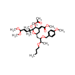 CCCCO[C@H](C)[C@@H](C[C@@H]1C/C(=C\C(=O)OC)[C@H](OC(C)=O)[C@](OC)(C(C)(C)/C=C/C(OC)OC)O1)OCc1ccc(OC)cc1